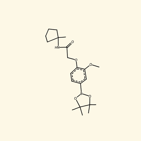 COc1cc(B2OC(C)(C)C(C)(C)O2)ccc1OCC(=O)NC1(C)CCCC1